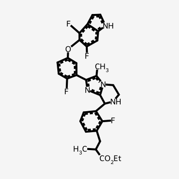 CCOC(=O)C(C)Cc1cccc(C2NCCn3c2nc(-c2cc(Oc4c(F)cc5[nH]ccc5c4F)ccc2F)c3C)c1F